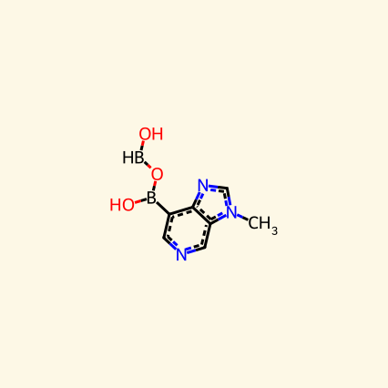 Cn1cnc2c(B(O)OBO)cncc21